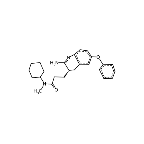 CN(C(=O)CC[C@@H]1Cc2cc(Oc3ccccc3)ccc2N=C1N)C1CCCCC1